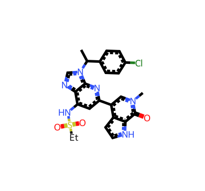 CCS(=O)(=O)Nc1cc(-c2cn(C)c(=O)c3[nH]ccc23)nc2c1ncn2C(C)c1ccc(Cl)cc1